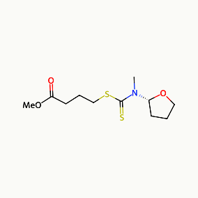 COC(=O)CCCSC(=S)N(C)[C@H]1CCCO1